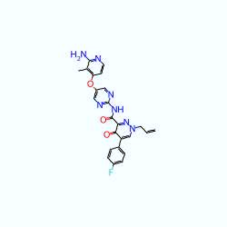 C=CCn1cc(-c2ccc(F)cc2)c(=O)c(C(=O)Nc2ncc(Oc3ccnc(N)c3C)cn2)n1